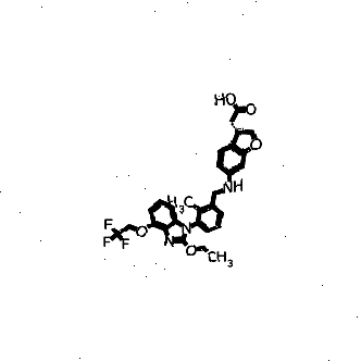 CCOc1nc2c(OCC(F)(F)F)cccc2n1-c1cccc(CNc2ccc3c(c2)OC[C@H]3CC(=O)O)c1C